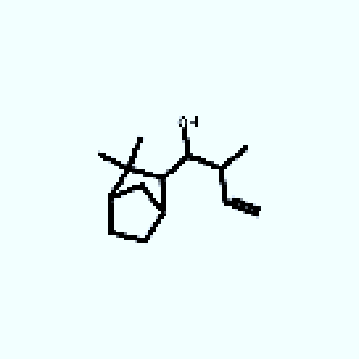 C=CC(C)C(O)C1C2CCC(C2)C1(C)C